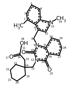 Cc1cccc2c1c(Cn1c(=O)n(CC3(CC(=O)O)CCCCC3)c(=O)c3ccccc31)cn2C